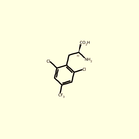 N[C@@H](Cc1c(Cl)cc(C(F)(F)F)cc1Cl)C(=O)O